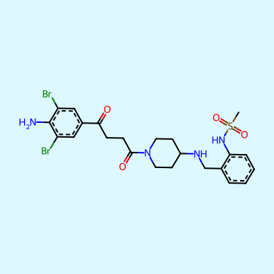 CS(=O)(=O)Nc1ccccc1CNC1CCN(C(=O)CCC(=O)c2cc(Br)c(N)c(Br)c2)CC1